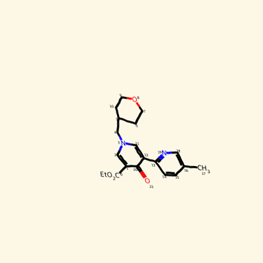 CCOC(=O)c1cn(CC2CCOCC2)cc(-c2ccc(C)cn2)c1=O